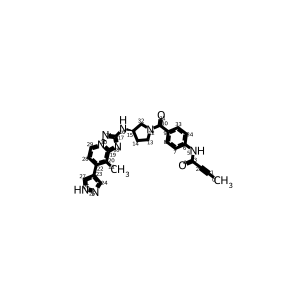 CC#CC(=O)Nc1ccc(C(=O)N2CC[C@@H](Nc3nc4c(C)c(-c5cn[nH]c5)ccn4n3)C2)cc1